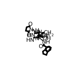 C=C1N[C@H]2[C@H](CN3C(=O)CCC3=O)NC(=N)N3C[C@H](NC(=O)c4cccc5c4CCC5)C(O)(O)[C@]23N1